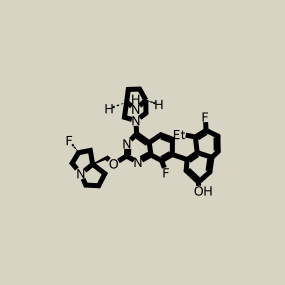 CCc1c(F)ccc2cc(O)cc(-c3ccc4c(N5C[C@H]6CC[C@@H](C5)N6)nc(OC[C@@]56CCCN5C[C@H](F)C6)nc4c3F)c12